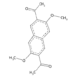 COc1cc2cc(C(C)=O)c(OC)cc2cc1C(C)=O